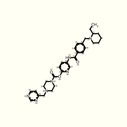 CCC1CCCCN1Cc1ccc(C(=O)Nc2ccc(OC(=O)N3CCN(Cc4ccncn4)CC3)nc2)cc1